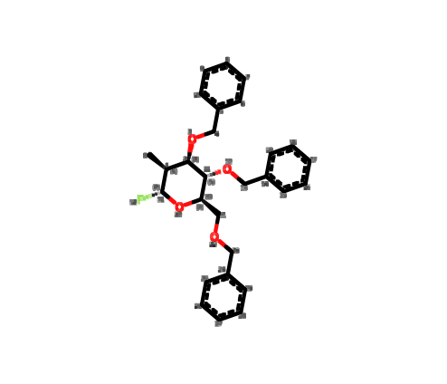 C[C@H]1[C@@H](OCc2ccccc2)[C@H](OCc2ccccc2)[C@@H](COCc2ccccc2)O[C@@H]1F